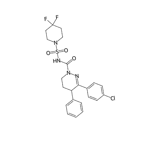 O=C(NS(=O)(=O)N1CCC(F)(F)CC1)N1CCC(c2ccccc2)C(c2ccc(Cl)cc2)=N1